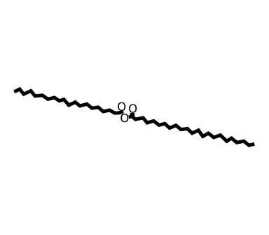 CCCCCCCCCCCCCCCCCCCCCCC(=O)OC(=O)CCCCCCCCCCCCCCCCCCC